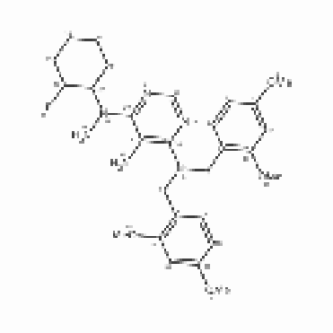 COc1ccc(CN(Cc2ccc(OC)cc2OC)c2ncnc(N(N)C3CCCCC3F)c2N)c(OC)c1